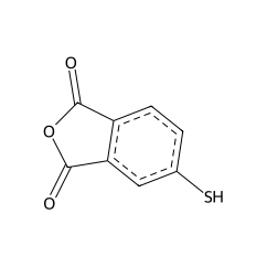 O=C1OC(=O)c2cc(S)ccc21